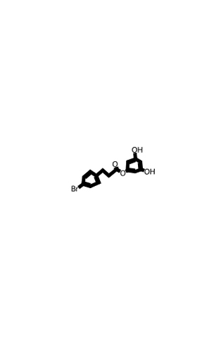 O=C(CCc1ccc(Br)cc1)Oc1cc(O)cc(O)c1